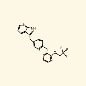 FC(F)(F)COc1ncccc1[CH]c1ccc(Cc2c[nH]c3ncccc23)cn1